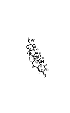 CCCC1OC2C[C@H]3[C@@H]4CCC5=CC(=O)CC[C@]5(C)[C@H]4CC[C@]3(C)[C@]2(C(C)=O)O1